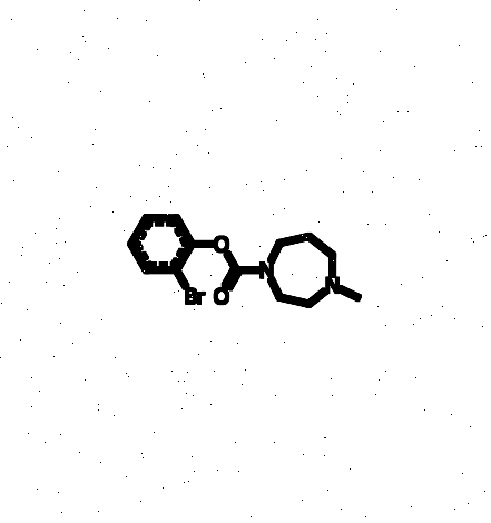 CN1CCCN(C(=O)Oc2ccccc2Br)CC1